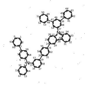 c1ccc(-c2ccc(N(c3ccccc3)c3cccc(-c4ccc(-c5ccc6c(c5)c5ccccc5n6-c5cc(-c6ccccc6)cc(-c6ccccc6)c5)cc4)c3)cc2)cc1